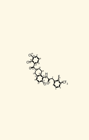 O=C(Cc1cccc(C(F)(F)F)c1F)Nc1c(Cl)ccc2c1CCN(C(=O)c1cccc(Cl)c1Cl)C2